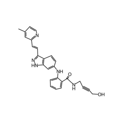 Cc1ccnc(C=Cc2n[nH]c3cc(Nc4ccccc4C(=O)NCC#CCO)ccc23)c1